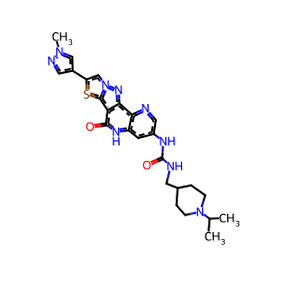 CC(C)N1CCC(CNC(=O)Nc2cnc3c(c2)[nH]c(=O)c2c3nn3cc(-c4cnn(C)c4)sc23)CC1